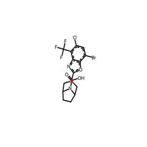 O=C(O)N1C2CCC1CN(c1nc3c(C(F)(F)F)c(Cl)cc(Br)c3o1)C2